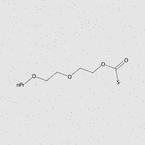 CCCOCCOCCOC(=O)[S]